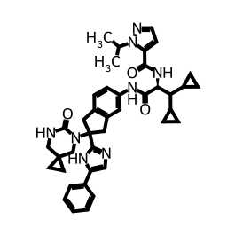 CC(C)n1nccc1C(=O)N[C@H](C(=O)Nc1ccc2c(c1)CC(c1ncc(-c3ccccc3)[nH]1)(N1CC3(CC3)CNC1=O)C2)C(C1CC1)C1CC1